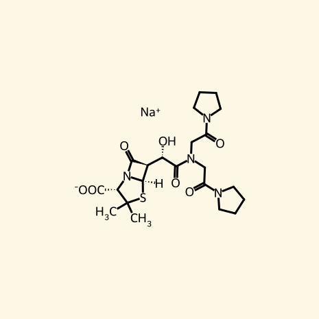 CC1(C)S[C@@H]2[C@H]([C@H](O)C(=O)N(CC(=O)N3CCCC3)CC(=O)N3CCCC3)C(=O)N2[C@H]1C(=O)[O-].[Na+]